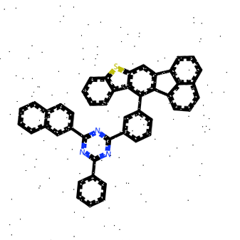 c1ccc(-c2nc(-c3cccc(-c4c5c(cc6sc7ccccc7c46)-c4cccc6cccc-5c46)c3)nc(-c3ccc4ccccc4c3)n2)cc1